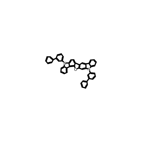 c1ccc(-c2cccc(-n3c4ccccc4c4cc5c(cc43)oc3c5ccc4c3c3ccccc3n4-c3cccc(-c4ccccc4)c3)c2)cc1